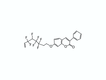 C=CC(F)(F)C(F)C(F)(F)C(F)(F)CCOc1ccc2cc(-c3ccccc3)c(=O)oc2c1